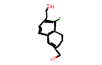 O=CC1=Cc2ccc(CO)c(F)c2CC1